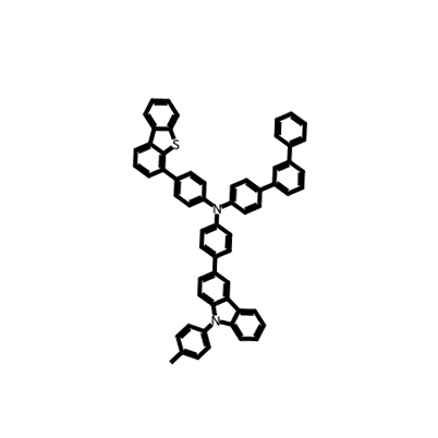 Cc1ccc(-n2c3ccccc3c3cc(-c4ccc(N(c5ccc(-c6cccc(-c7ccccc7)c6)cc5)c5ccc(-c6cccc7c6sc6ccccc67)cc5)cc4)ccc32)cc1